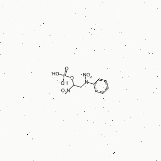 O=[N+]([O-])C(CN(c1ccccc1)[N+](=O)[O-])OP(=O)(O)O